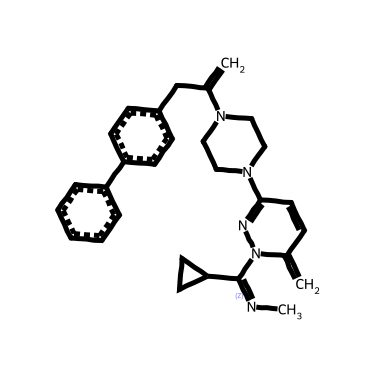 C=C(Cc1ccc(-c2ccccc2)cc1)N1CCN(C2=NN(/C(=N\C)C3CC3)C(=C)C=C2)CC1